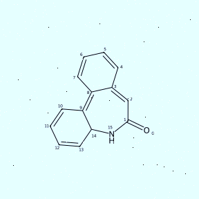 O=C1[C]=c2ccccc2=C2C=CC=CC2N1